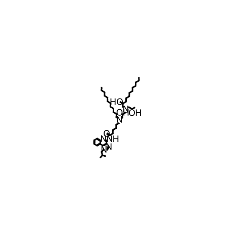 CCCCCCCCCCC(O)CN(CCCCCC(=O)Nc1nc2ccccc2c2c1ncn2CC(C)C)CCCN(CC(C)O)CC(O)CCCCCCCCCC